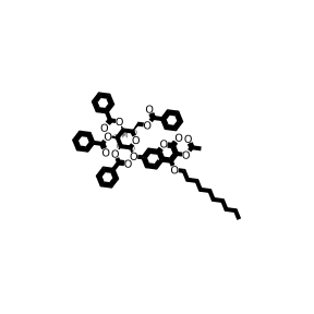 CCCCCCCCCCOc1c(OC(C)=O)c(=O)oc2cc(O[C@@H]3O[C@H](COC(=O)c4ccccc4)[C@@H](OC(=O)c4ccccc4)[C@H](OC(=O)c4ccccc4)[C@H]3OC(=O)c3ccccc3)ccc12